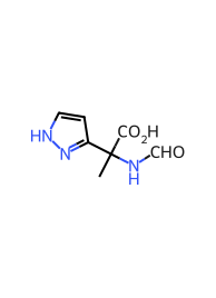 CC(NC=O)(C(=O)O)c1cc[nH]n1